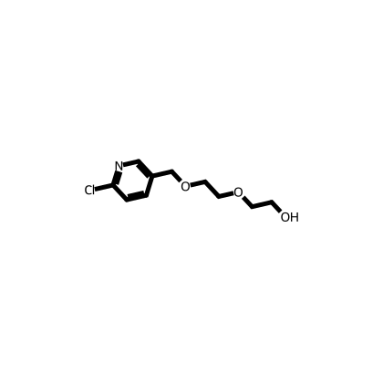 OCCOCCOCc1ccc(Cl)nc1